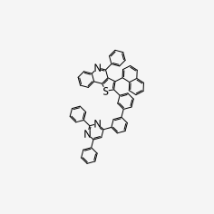 c1ccc(-c2cc(-c3cccc(-c4cccc(-c5sc6c(c(-c7ccccc7)nc7ccccc76)c5-c5cccc6ccccc56)c4)c3)nc(-c3ccccc3)n2)cc1